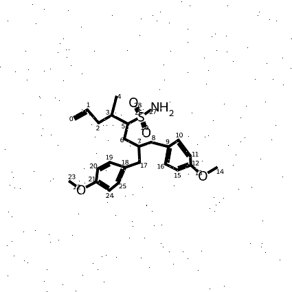 C=CCC(C)C(CC(Cc1ccc(OC)cc1)Cc1ccc(OC)cc1)S(N)(=O)=O